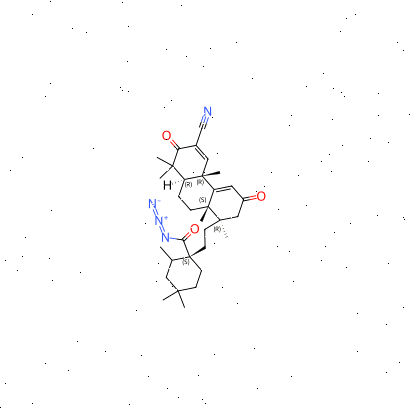 CC1CC(C)(C)CC[C@@]1(CC[C@]1(C)CC(=O)C=C2[C@@]3(C)C=C(C#N)C(=O)C(C)(C)[C@@H]3CC[C@]21C)C(=O)N=[N+]=[N-]